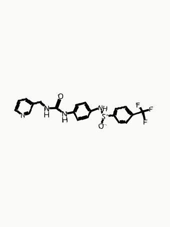 O=C(NCc1cccnc1)Nc1ccc(N[S+]([O-])c2ccc(C(F)(F)F)cc2)cc1